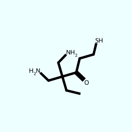 CCC(CN)(CN)C(=O)CCS